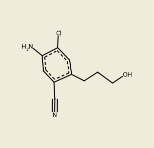 N#Cc1cc(N)c(Cl)cc1CCCO